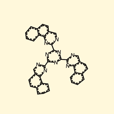 c1ccc2c(c1)ccc1cnc(-c3nc(-c4ncc5ccc6ccccc6c5n4)nc(-c4ncc5ccc6ccccc6c5n4)n3)nc12